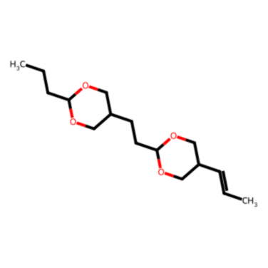 CC=CC1COC(CCC2COC(CCC)OC2)OC1